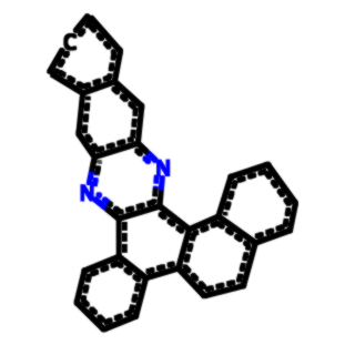 c1ccc2cc3nc4c(nc3cc2c1)c1ccccc1c1ccc2ccccc2c14